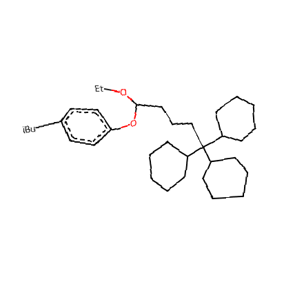 CCOC(CCCC(C1CCCCC1)(C1CCCCC1)C1CCCCC1)Oc1ccc(C(C)CC)cc1